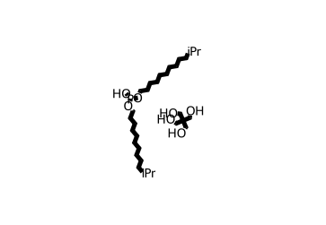 CC(C)CCCCCCCCCCOP(O)OCCCCCCCCCCC(C)C.OCC(CO)(CO)CO